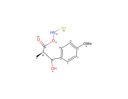 COc1ccc(C(O)[C@@H](C)C(=O)ONS)cc1